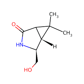 CC1(C)C2C(=O)N[C@H](CO)[C@H]21